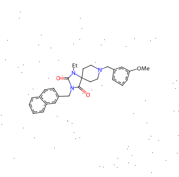 CCN1C(=O)N(Cc2ccc3ccccc3c2)C(=O)C12CCN(Cc1cccc(OC)c1)CC2